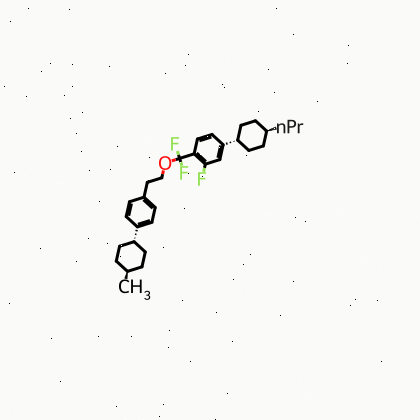 CCC[C@H]1CC[C@H](c2ccc(C(F)(F)OCCc3ccc([C@H]4CC[C@H](C)CC4)cc3)c(F)c2)CC1